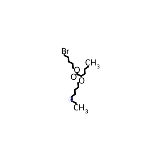 CC/C=C\CCCCOC(CCCC)C(=O)OCCCCCBr